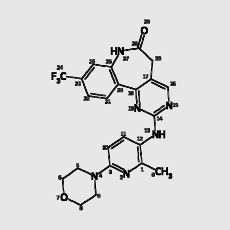 Cc1nc(N2CCOCC2)ccc1Nc1ncc2c(n1)-c1ccc(C(F)(F)F)cc1NC(=O)C2